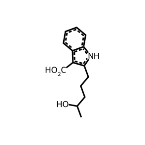 CC(O)CCCc1[nH]c2ccccc2c1C(=O)O